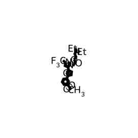 CCN(CC)CCOC(=O)Cn1nc(C(F)(F)F)cc1-c1ccc(-c2cccc(S(C)(=O)=O)c2)o1